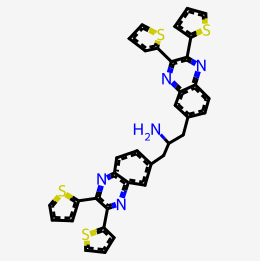 NC(Cc1ccc2nc(-c3cccs3)c(-c3cccs3)nc2c1)Cc1ccc2nc(-c3cccs3)c(-c3cccs3)nc2c1